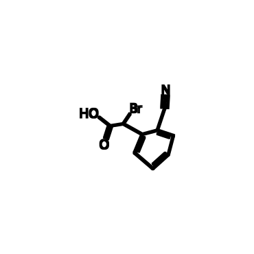 N#Cc1ccccc1C(Br)C(=O)O